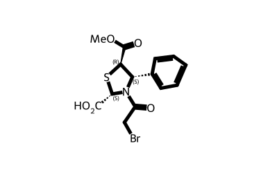 COC(=O)[C@@H]1S[C@@H](C(=O)O)N(C(=O)CBr)[C@H]1c1ccccc1